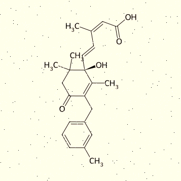 CC1=C(Cc2cccc(C)c2)C(=O)CC(C)(C)[C@]1(O)/C=C/C(C)=C\C(=O)O